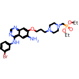 CCOP(=O)(CN1CCN(CCCOc2cc3ncnc(Nc4cccc(Br)c4)c3cc2N)CC1)OCC